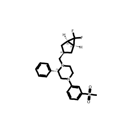 CS(=O)(=O)c1cccc(N2CCN(C[C@H]3C[C@@H]4[C@H](C3)C4(F)F)[C@@H](c3ccccc3)C2)c1